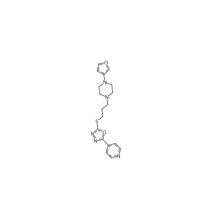 c1cc(-c2nnc(SCCCN3CCN(c4ccoc4)CC3)o2)ccn1